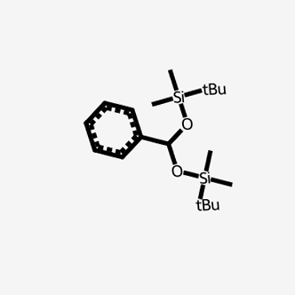 CC(C)(C)[Si](C)(C)OC(O[Si](C)(C)C(C)(C)C)c1ccccc1